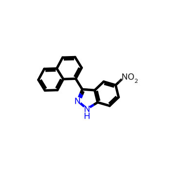 O=[N+]([O-])c1ccc2[nH]nc(-c3cccc4ccccc34)c2c1